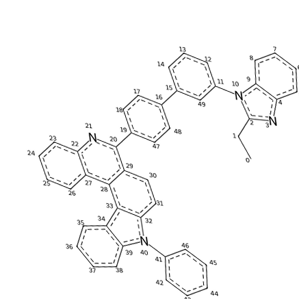 CCc1nc2ccccc2n1-c1cccc(-c2ccc(-c3nc4ccccc4c4c3ccc3c4c4ccccc4n3-c3ccccc3)cc2)c1